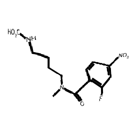 CN(CCCCNC(=O)O)C(=O)c1ccc([N+](=O)[O-])cc1F